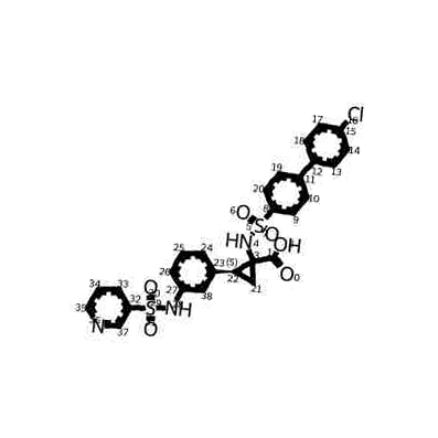 O=C(O)C1(NS(=O)(=O)c2ccc(-c3ccc(Cl)cc3)cc2)C[C@H]1c1cccc(NS(=O)(=O)c2cccnc2)c1